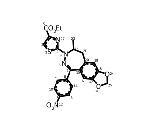 CCOC(=O)c1csc(N2N=C(c3ccc([N+](=O)[O-])cc3)c3cc4c(cc3CC2C)OCO4)n1